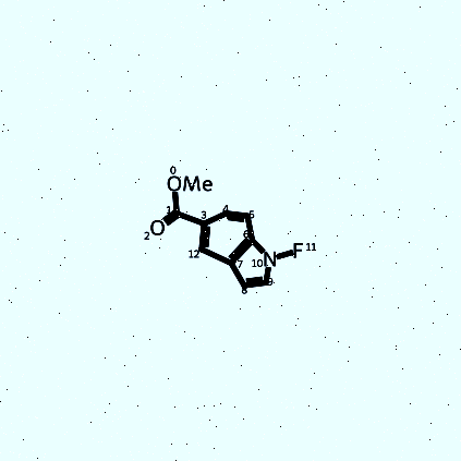 COC(=O)c1ccc2c(ccn2F)c1